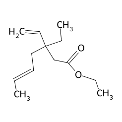 C=CC(CC)(CC=CC)CC(=O)OCC